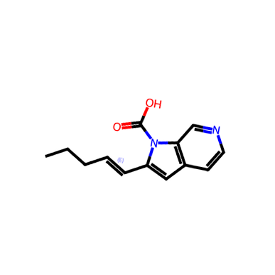 CCC/C=C/c1cc2ccncc2n1C(=O)O